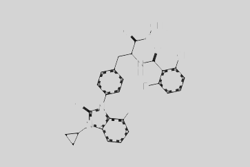 COC(=O)C(Cc1ccc(-n2c(=O)n(C3CC3)c3cccc(F)c32)cc1)NC(=O)c1c(F)cccc1Cl